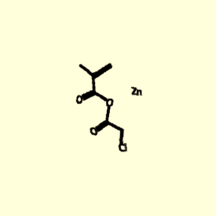 C=C(C)C(=O)OC(=O)CCl.[Zn]